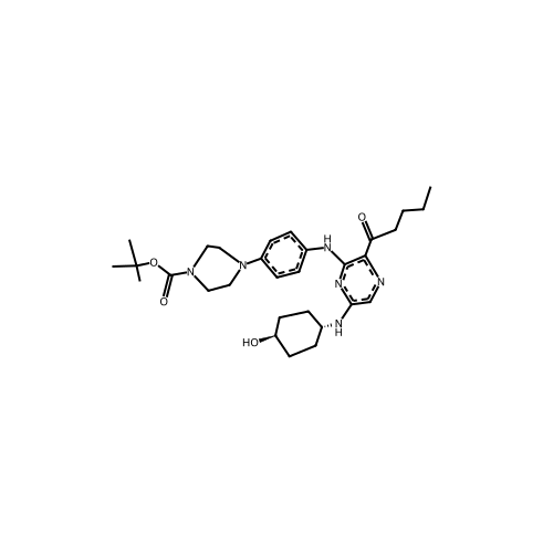 CCCCC(=O)c1ncc(N[C@H]2CC[C@H](O)CC2)nc1Nc1ccc(N2CCN(C(=O)OC(C)(C)C)CC2)cc1